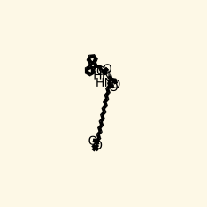 CC(C)(C)OC(=O)CCCCCCCCCCCCCCCCC(=O)NC(C=O)CNC(=O)OCC1c2ccccc2-c2ccccc21